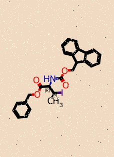 C[C@H](I)[C@H](NC(=O)OCC1c2ccccc2-c2ccccc21)C(=O)OCc1ccccc1